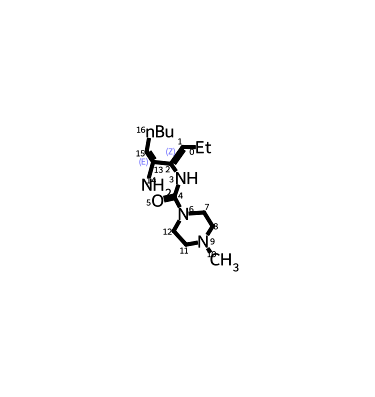 CC/C=C(NC(=O)N1CCN(C)CC1)/C(N)=C\CCCC